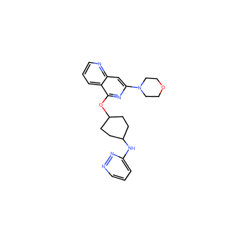 c1cnnc(NC2CCC(Oc3nc(N4CCOCC4)cc4ncccc34)CC2)c1